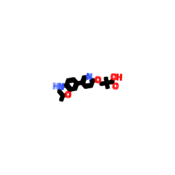 CC1CNc2ccc(-c3ccc(OCC(C)(C)C(=O)O)nc3)cc2O1